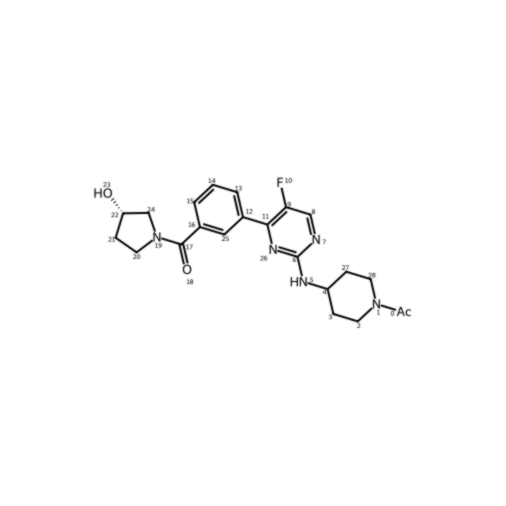 CC(=O)N1CCC(Nc2ncc(F)c(-c3cccc(C(=O)N4CC[C@H](O)C4)c3)n2)CC1